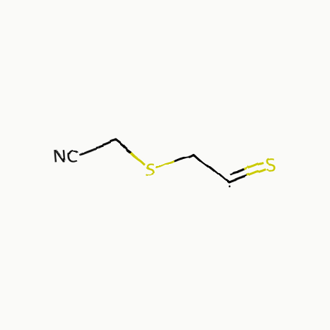 N#CCSC[C]=S